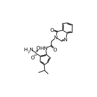 CC(C)c1ccc(NC(=O)Cn2cnc3ccccc3c2=O)c(S(N)(=O)=O)c1